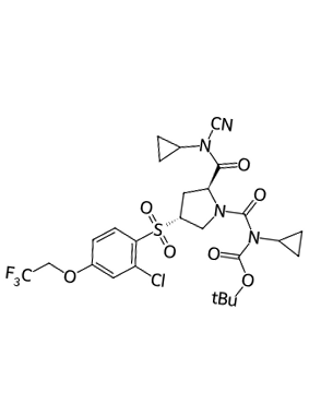 CC(C)(C)OC(=O)N(C(=O)N1C[C@H](S(=O)(=O)c2ccc(OCC(F)(F)F)cc2Cl)C[C@H]1C(=O)N(C#N)C1CC1)C1CC1